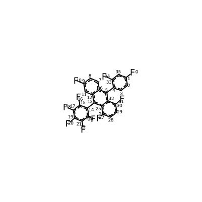 Fc1ccc(-c2c3ccc(F)cc3c(-c3c(F)c(F)c(F)c(F)c3F)c3c(F)ccc(F)c23)c(F)c1